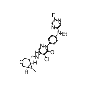 CCN(c1ccc(-n2ncc(NC[C@H]3COC[C@@H]4[C@H](C)[C@H]34)c(Cl)c2=O)cc1)c1cnc(F)cn1